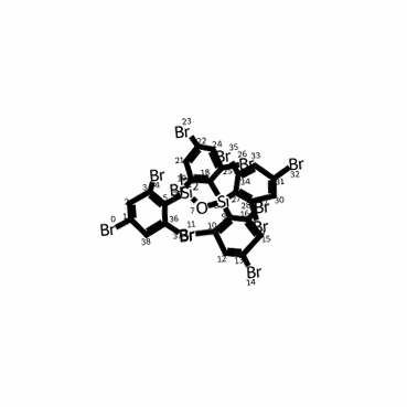 Brc1cc(Br)c([SiH2]O[Si](c2c(Br)cc(Br)cc2Br)(c2c(Br)cc(Br)cc2Br)c2c(Br)cc(Br)cc2Br)c(Br)c1